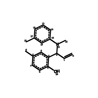 C=CC(c1cc(C)ccc1O)N(C)c1cccc(C)c1